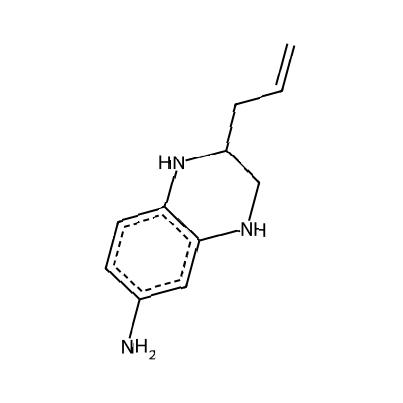 C=CCC1CNc2cc(N)ccc2N1